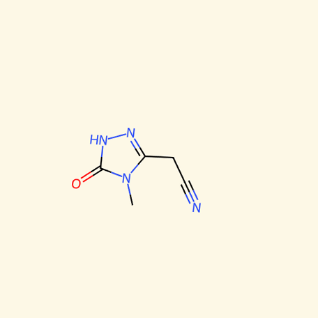 Cn1c(CC#N)n[nH]c1=O